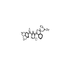 CN1Cc2cc(Nc3ncc(Cl)c(N4CC(C)(CC(=O)O)c5ccccc54)n3)cc3c2C(COC3)C1